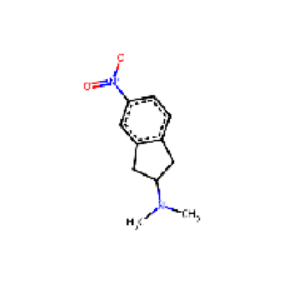 CN(C)C1Cc2ccc([N+](=O)[O-])cc2C1